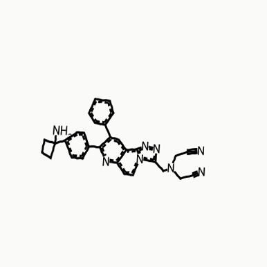 N#CCN(CC#N)Cc1nnc2c3cc(-c4ccccc4)c(-c4ccc(C5(N)CCC5)cc4)nc3ccn12